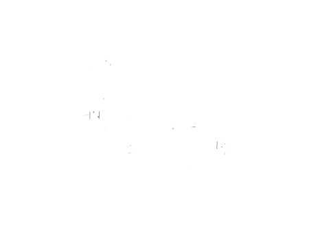 CC(=S)CCNc1csc(-c2ccc(Br)cc2)c1